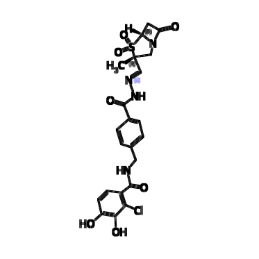 C[C@]1(/C=N/NC(=O)c2ccc(CNC(=O)c3ccc(O)c(O)c3Cl)cc2)CN2C(=O)C[C@H]2S1(=O)=O